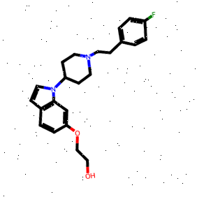 OCCOc1ccc2ccn(C3CCN(CCc4ccc(F)cc4)CC3)c2c1